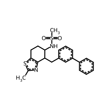 Cc1nc2c(s1)CCC(NS(C)(=O)=O)C2Cc1cccc(-c2ccccc2)c1